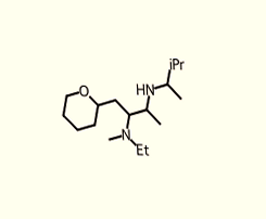 CCN(C)C(CC1CCCCO1)C(C)NC(C)C(C)C